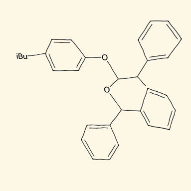 CCC(C)c1ccc(OC(OC(c2ccccc2)c2ccccc2)C(C)c2ccccc2)cc1